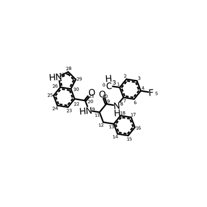 Cc1ccc(F)cc1NC(=O)C(Cc1ccccc1)NC(=O)c1cccc2[nH]ccc12